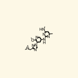 CNc1cc(C)nc(Nc2cnc(OC)c(-n3cnc(CN(C)C)n3)c2)n1